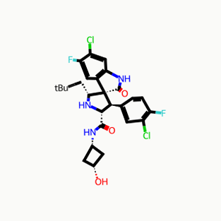 CC(C)(C)C[C@H]1N[C@@H](C(=O)N[C@H]2C[C@@H](O)C2)[C@H](c2ccc(F)c(Cl)c2)[C@@]12C(=O)Nc1cc(Cl)c(F)cc12